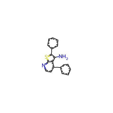 Nc1c(-c2ccccc2)sc2nccc(-c3ccccc3)c12